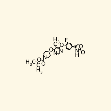 Cc1c(Oc2ccc([C@H]3COC(=O)N3)cc2F)ncnc1OC1CCN(C(=O)OC(C)C)CC1